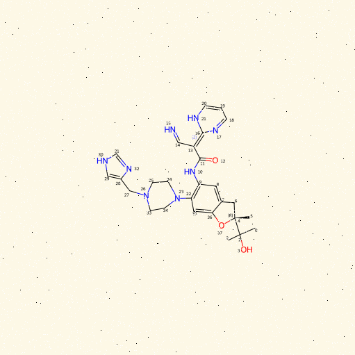 CC(C)(O)[C@@]1(C)Cc2cc(NC(=O)/C(C=N)=C3\N=CC=CN3)c(N3CCN(Cc4c[nH]cn4)CC3)cc2O1